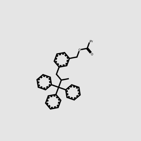 CC(C)C(=O)OCc1cccc(CC(C)C(c2ccccc2)(c2ccccc2)c2ccccc2)c1